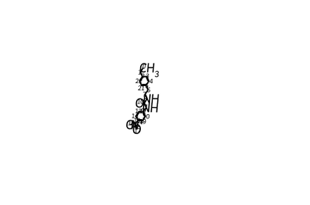 CCc1ccc(CCNC(=O)Nc2ccc([N+](=O)[O-])cc2)cc1